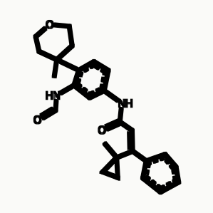 CC1(/C(=C\C(=O)Nc2ccc(C3(C)CCOCC3)c(NC=O)c2)c2ccccc2)CC1